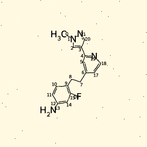 Cn1cc(-c2cc(CCc3ccc(N)cc3F)ccn2)cn1